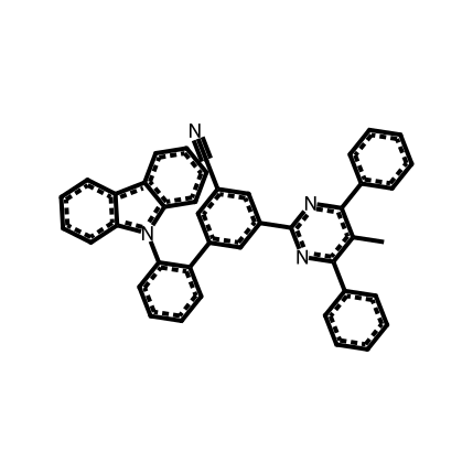 Cc1c(-c2ccccc2)nc(-c2cc(C#N)cc(-c3ccccc3-n3c4ccccc4c4ccccc43)c2)nc1-c1ccccc1